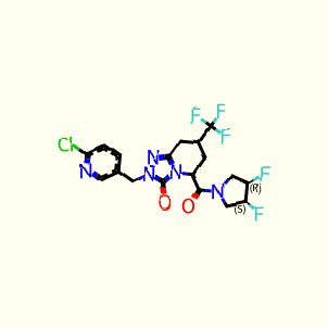 O=C(C1CC(C(F)(F)F)Cc2nn(Cc3ccc(Cl)nc3)c(=O)n21)N1C[C@@H](F)[C@@H](F)C1